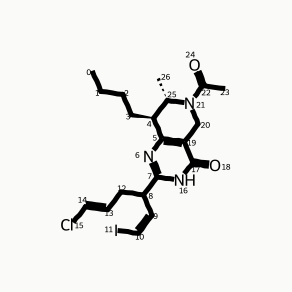 CCCC[C@@H]1c2nc(C(/C=C\I)C/C=C/Cl)[nH]c(=O)c2CN(C(C)=O)[C@H]1C